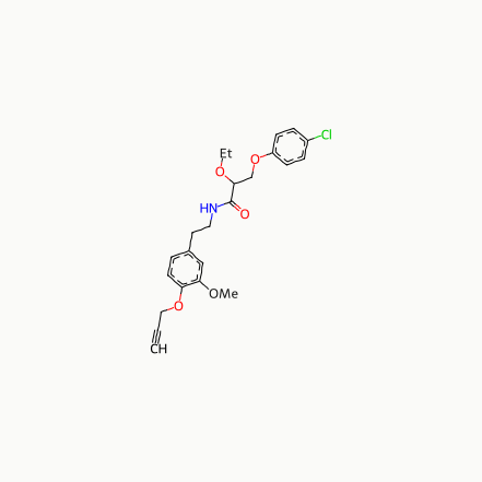 C#CCOc1ccc(CCNC(=O)C(COc2ccc(Cl)cc2)OCC)cc1OC